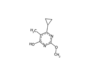 COc1nc(O)c(C)c(C2CC2)n1